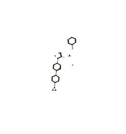 Cc1onc(-c2ccc(-c3ccc(C4CC4)cc3)cc2)c1NC(=O)OCc1ccccc1.O=C(O)O